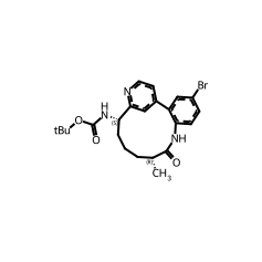 C[C@@H]1CCC[C@H](NC(=O)OC(C)(C)C)c2cc(ccn2)-c2cc(Br)ccc2NC1=O